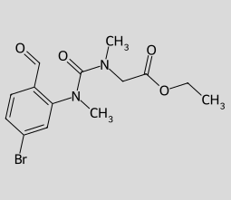 CCOC(=O)CN(C)C(=O)N(C)c1cc(Br)ccc1C=O